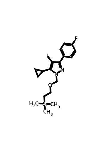 C[Si](C)(C)CCOCn1nc(-c2ccc(F)cc2)c(I)c1C1CC1